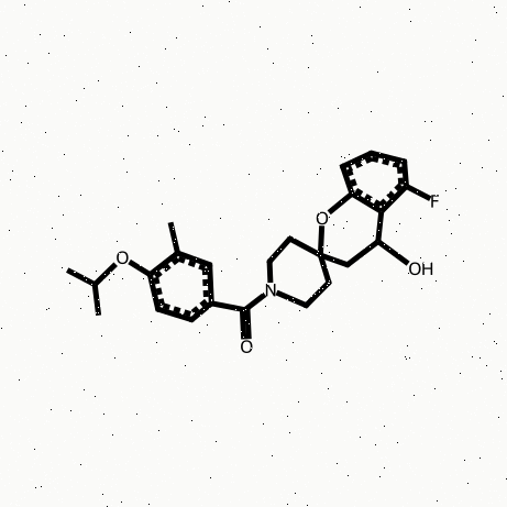 Cc1cc(C(=O)N2CCC3(CC2)CC(O)c2c(F)cccc2O3)ccc1OC(C)C